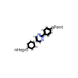 CCCCCCC[C@H]1CC[C@H](c2cnc(-c3ccc(CCCCC)cc3)nc2)CC1